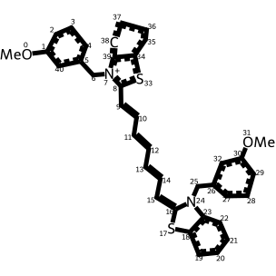 COc1cccc(C[n+]2c(/C=C/C=C/C=C/C=C3/Sc4ccccc4N3Cc3cccc(O[11CH3])c3)sc3ccccc32)c1